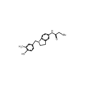 Cc1cc(CN2CCc3cc(NC(=O)CC(C)(C)C)ccc32)ccc1S